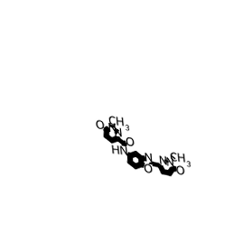 Cn1nc(C(=O)Nc2ccc3oc(-c4ccc(=O)n(C)n4)nc3c2)ccc1=O